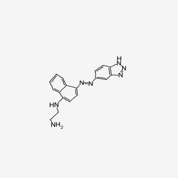 NCCNc1ccc(/N=N/c2ccc3[nH]nnc3c2)c2ccccc12